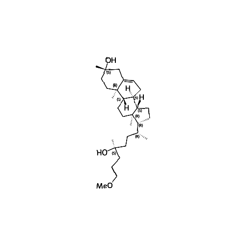 COCCC[C@@](C)(O)CC[C@@H](C)[C@H]1CC[C@H]2[C@@H]3CC=C4C[C@@](C)(O)CC[C@]4(C)[C@H]3CC[C@]12C